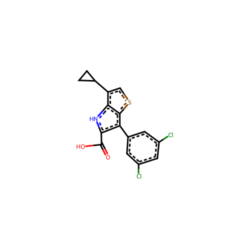 O=C(O)c1[nH]c2c(C3CC3)csc2c1-c1cc(Cl)cc(Cl)c1